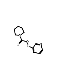 O=C(OOc1cccnc1)N1CCCCC1